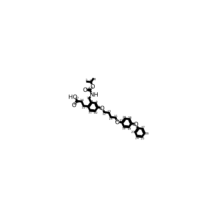 CC(C)OC(=O)NCc1cc(OCCCCOc2ccc(Oc3ccccc3)cc2)ccc1CCC(=O)O